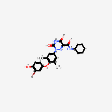 Cc1cc(-n2nc(C(=O)NC3CCCCC3)c(=O)[nH]c2=O)cc(C)c1Oc1ccc(O)c(Br)c1